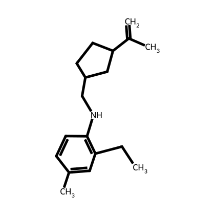 C=C(C)C1CCC(CNc2ccc(C)cc2CC)C1